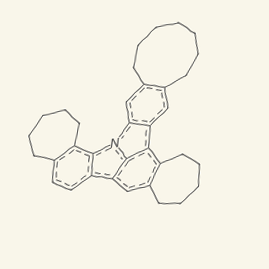 c1cc2c3cc4c(c5c6cc7c(cc6n(c2c2c1CCCCC2)c35)CCCCCCC7)CCCCC4